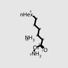 CCCCCCCCCCCC(=O)ON.N